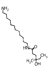 CCC(C)(O)CCC(=O)NCCCCCCCCCCCCN